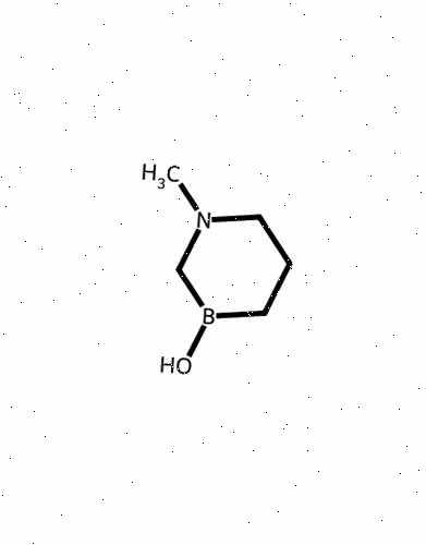 CN1CCCB(O)C1